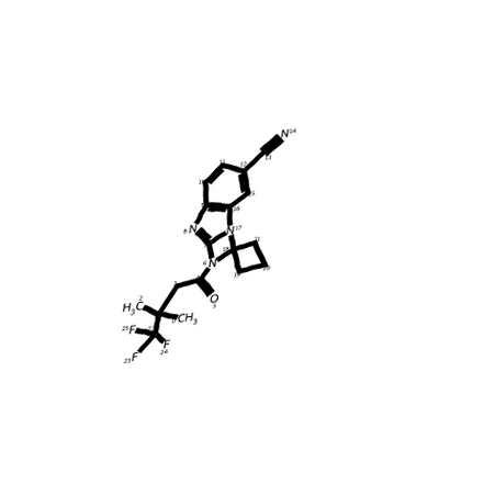 CC(C)(CC(=O)N1c2nc3ccc(C#N)cc3n2C12CCC2)C(F)(F)F